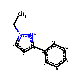 CCn1ccc(-c2cc[c]cc2)n1